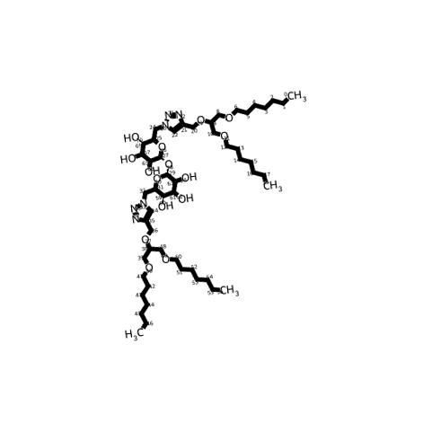 CCCCCCCOCC(COCCCCCCC)OCc1cn(CC2O[C@H](O[C@H]3OC(Cn4cc(COC(COCCCCCCC)COCCCCCCC)nn4)[C@@H](O)C(O)C3O)C(O)C(O)[C@@H]2O)nn1